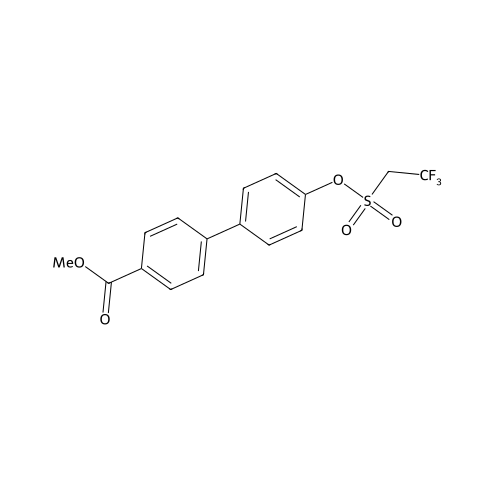 COC(=O)c1ccc(-c2ccc(OS(=O)(=O)CC(F)(F)F)cc2)cc1